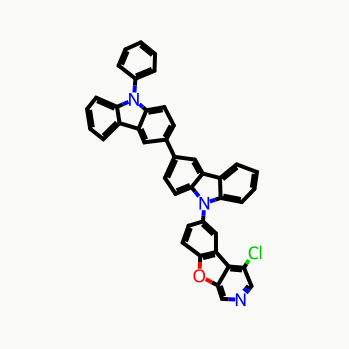 Clc1cncc2oc3ccc(-n4c5ccccc5c5cc(-c6ccc7c(c6)c6ccccc6n7-c6ccccc6)ccc54)cc3c12